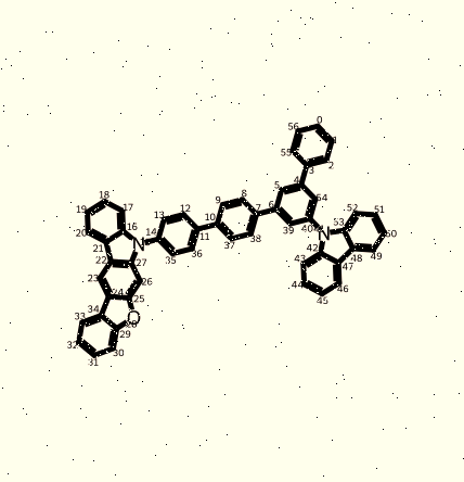 c1ccc(-c2cc(-c3ccc(-c4ccc(-n5c6ccccc6c6cc7c(cc65)oc5ccccc57)cc4)cc3)cc(-n3c4ccccc4c4ccccc43)c2)cc1